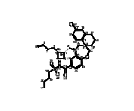 C=CCC[C@@H]1CC[C@H]1CN1C[C@@]2(CCCc3cc(Cl)ccc32)COc2ccc(C(=O)NS(=O)(=O)CCC=C)cc21